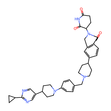 O=C1CCC(N2Cc3cc(C4CCN(Cc5ccc(N6CCC(c7cnc(C8CC8)nc7)CC6)cc5)CC4)ccc3C2=O)C(=O)N1